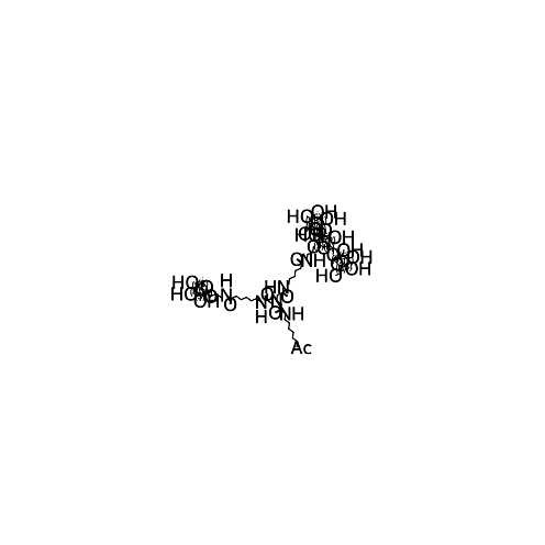 CC(=O)CCCCCCNC(=O)CN(CC(=O)NCCCCCC(=O)NCCO[C@@H]1O[C@@H](C)[C@@H](O)[C@@H](O)[C@@H]1O)CC(=O)NCCCCCC(=O)NCCO[C@H]1O[C@H](CO[C@H]2O[C@H](CO)[C@@H](O)[C@H](O)[C@@H]2O)[C@@H](O)[C@H](O[C@H]2O[C@H](CO)[C@@H](O)[C@H](O)[C@@H]2O)[C@@H]1O